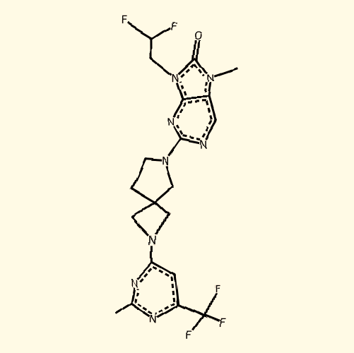 Cc1nc(N2CC3(CCN(c4ncc5c(n4)n(CC(F)F)c(=O)n5C)C3)C2)cc(C(F)(F)F)n1